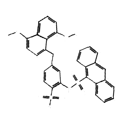 COc1ccc(Cc2ccc(S(N)(=O)=O)c(NS(=O)(=O)c3c4ccccc4cc4ccccc34)c2)c2c(OC)cccc12